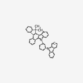 CC1(C)c2ccccc2-c2c1c1c3ccccc3n(-c3cccc(-n4c5ccccc5c5ccccc54)c3)c1c1ccccc21